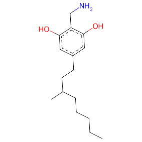 CCCCCC(C)CCc1cc(O)c(CN)c(O)c1